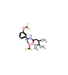 CC(C)C(C)CC(=O)N[C@@H](COC(F)F)c1cccc(OC(F)F)c1